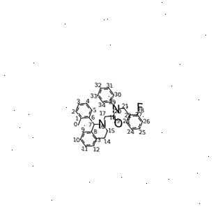 Cc1ccccc1C1c2ccccc2CCN1CC(=O)N(Cc1ccccc1F)c1ccccc1